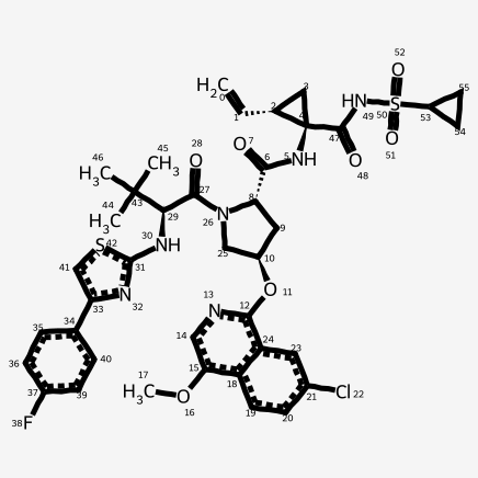 C=C[C@@H]1C[C@]1(NC(=O)[C@@H]1C[C@@H](Oc2ncc(OC)c3ccc(Cl)cc23)CN1C(=O)[C@@H](Nc1nc(-c2ccc(F)cc2)cs1)C(C)(C)C)C(=O)NS(=O)(=O)C1CC1